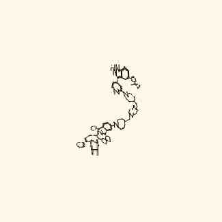 CC1(Oc2ccc3[nH]nc(-c4ccnc(N5CCC(CN6CCN(CC7CCN(c8ccc9c(c8)C(=O)N(C8CCC(=O)NC8=O)C9=O)CC7)CC6)CC5)c4)c3c2)CC1